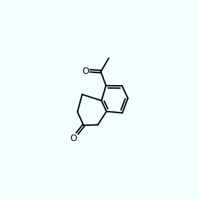 CC(=O)c1cccc2c1CCC(=O)C2